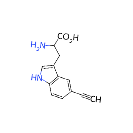 C#Cc1ccc2[nH]cc(CC(N)C(=O)O)c2c1